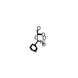 O=CC(=O)OC(c1ccccc1)[N+](=O)[O-]